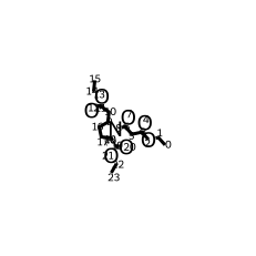 CCOC(=O)CC(=O)N1C(CC(=O)OCC)CC[C@@H]1C(=O)OCC